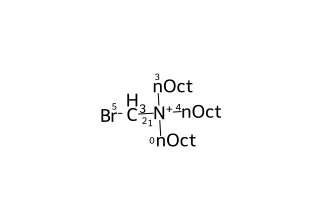 CCCCCCCC[N+](C)(CCCCCCCC)CCCCCCCC.[Br-]